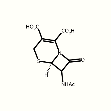 CC(=O)NC1C(=O)N2C(C(=O)O)=C(C(=O)O)CS[C@H]12